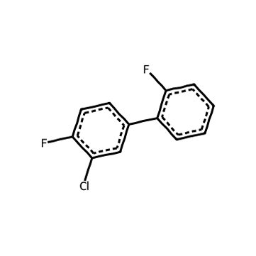 Fc1ccc(-c2ccccc2F)cc1Cl